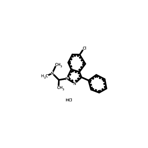 CC(N(C)C)n1nc(-c2ccccc2)c2cc(Cl)ccc21.Cl